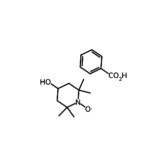 CC1(C)CC(O)CC(C)(C)N1[O].O=C(O)c1ccccc1